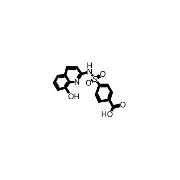 O=C(O)c1ccc(S(=O)(=O)Nc2ccc3cccc(O)c3n2)cc1